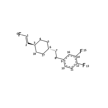 FC=C[C@H]1CC[C@H](CCc2ccc(F)c(F)c2)CC1